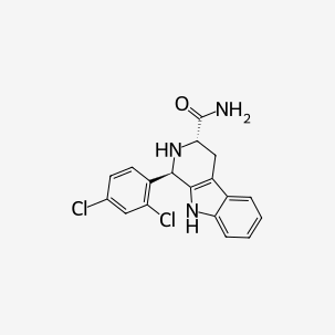 NC(=O)[C@@H]1Cc2c([nH]c3ccccc23)[C@@H](c2ccc(Cl)cc2Cl)N1